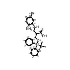 CC(C)(C)[Si](OCC(CNc1cc(Br)cnc1N)C(=O)O)(c1ccccc1)c1ccccc1